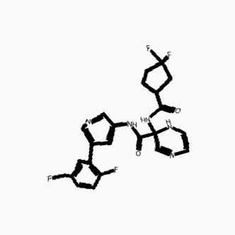 O=C(NC1(C(=O)Nc2cncc(-c3cc(F)ccc3F)c2)C=NC=CN1)C1CCC(F)(F)C1